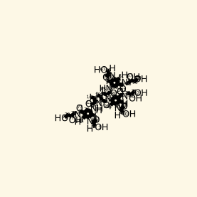 O=C(CO)Nc1c(I)c(NC(=O)C(CI)NC(CI)C(=O)N(c2cc(C(=O)NCC(O)CO)c(I)c(NC(=O)CO)c2I)C(CI)C(=O)Nc2cc(C(=O)NCC(O)CO)c(I)c(NC(=O)CO)c2I)cc(C(=O)NCC(O)CO)c1I